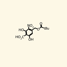 CC(C)(C)C(=O)OCc1cc(O)c(C(=O)O)c(O)c1[N+](=O)[O-]